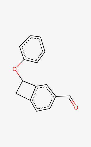 O=Cc1ccc2c(c1)C(Oc1ccccc1)C2